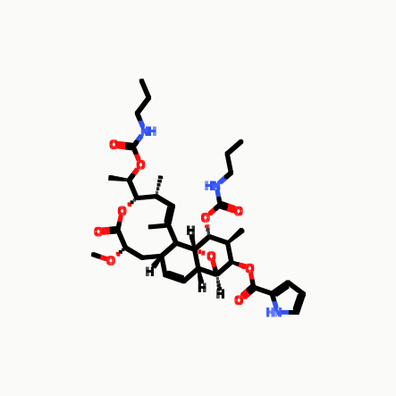 CCCNC(=O)O[C@@H]1[C@@H](C)[C@@H](OC(=O)c2ccc[nH]2)[C@@H]2O[C@@]34/C(C)=C/[C@@H](C)[C@@H]([C@@H](C)OC(=O)NCCC)OC(=O)[C@@H](OC)C[C@H]3C=C[C@@H]2[C@@H]14